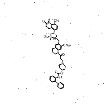 COc1cc2c(cc1CNC[C@H](O[Si](C)(C)C(C)(C)C)c1ccc(O)c3[nH]c(=O)ccc13)CCCN2C(=O)CCN1CCC(OC(=O)Nc2ccccc2-c2ccccc2)CC1